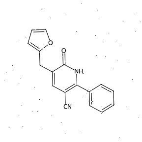 N#Cc1cc(Cc2ccco2)c(=O)[nH]c1-c1ccccc1